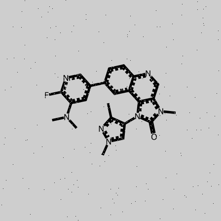 Cc1nn(C)cc1-n1c(=O)n(C)c2cnc3ccc(-c4cnc(F)c(N(C)C)c4)cc3c21